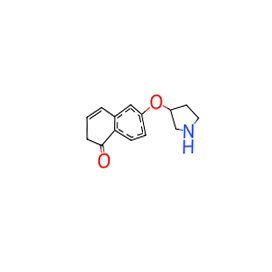 O=C1CC=Cc2cc(OC3CCNC3)ccc21